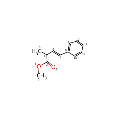 COC(=O)C(C)C=Cc1ccccc1